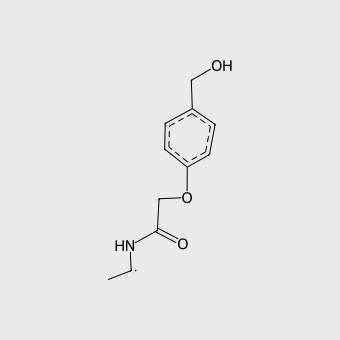 C[CH]NC(=O)COc1ccc(CO)cc1